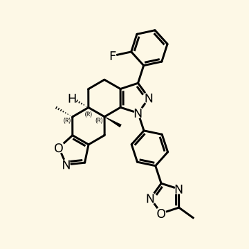 Cc1nc(-c2ccc(-n3nc(-c4ccccc4F)c4c3[C@]3(C)Cc5cnoc5[C@H](C)[C@H]3CC4)cc2)no1